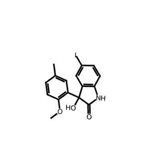 COc1ccc(C)cc1C1(O)C(=O)Nc2ccc(I)cc21